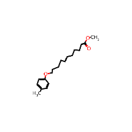 COC(=O)CCCCCCCCCCOc1ccc(C)cc1